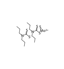 CCCN(CCC)C(=S)[S-].CCCN(CCC)C(=S)[S-].[S]=[Mo+2]